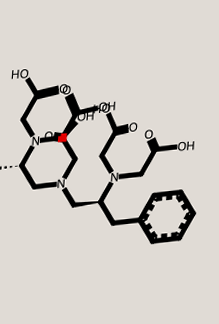 C[C@@H](CN(CC(=O)O)C[C@H](Cc1ccccc1)N(CC(=O)O)CC(=O)O)N(CC(=O)O)CC(=O)O